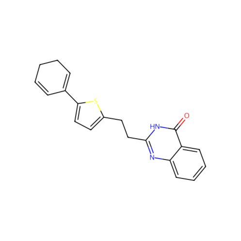 O=c1[nH]c(CCc2ccc(C3=CCCC=C3)s2)nc2ccccc12